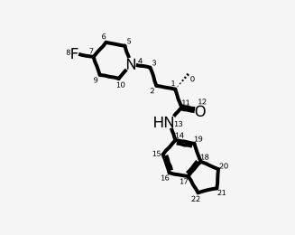 C[C@@H](CCN1CCC(F)CC1)C(=O)Nc1ccc2c(c1)CCC2